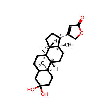 C[C@]12CC[C@H]3[C@@H](CCC4CC(O)(O)CC[C@@]43C)[C@@H]1CC[C@@H]2C1=CC(=O)OC1